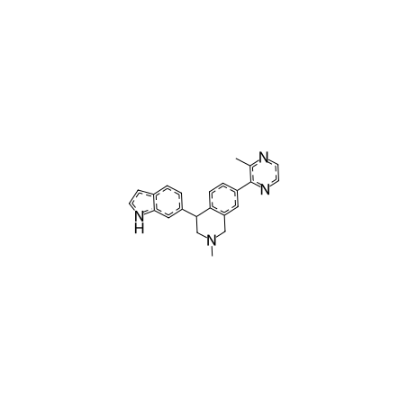 Cc1nccnc1-c1ccc2c(c1)CN(C)CC2c1ccc2cc[nH]c2c1